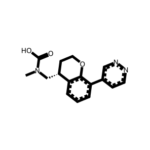 CN(C[C@@H]1CCOc2c(-c3ccnnc3)cccc21)C(=O)O